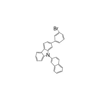 Brc1cccc(-c2ccc3c4ccccc4n(-c4ccc5ccccc5c4)c3c2)c1